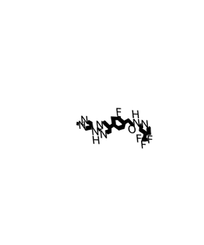 Cn1cc(Nc2ncc(-c3ccc(CC(=O)Nc4cc(C(F)(F)F)ccn4)c(F)c3)cn2)cn1